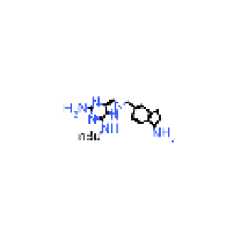 CCCCNc1nc(N)nc2cn(Cc3ccc4c(c3)CC[C@H]4N)nc12